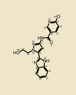 O=C(Nc1cc(-c2nc3ccccc3[nH]2)n(CCO)n1)c1ccc(Cl)nc1